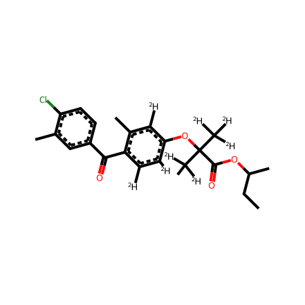 [2H]c1c([2H])c(C(=O)c2ccc(Cl)c(C)c2)c(C)c([2H])c1OC(C(=O)OC(C)CC)(C([2H])([2H])[2H])C([2H])([2H])C